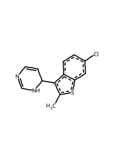 Cc1sc2cc(Cl)ccc2c1C1C=CN=CN1